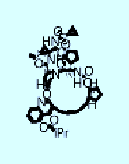 C=C[C@@H]1C[C@]1(NC(=O)[C@@H]1C[C@@H]2CN1C(=O)[C@H](C1CCCC1)NC(=O)O[C@@H]1CCC[C@H]1CCC=CCc1c(nc3ccccc3c1OC(=O)C(C)C)O2)C(=O)NS(=O)(=O)C1CC1